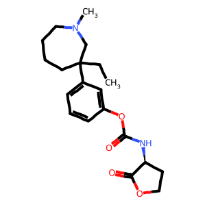 CCC1(c2cccc(OC(=O)N[C@H]3CCOC3=O)c2)CCCCN(C)C1